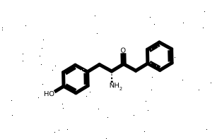 N[C@H](Cc1ccc(O)cc1)C(=O)[CH]c1ccccc1